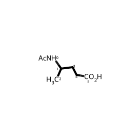 CC(=O)NC(C)CCC(=O)O